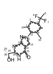 Cc1cc(C(C)(F)F)cc(C)c1-n1cc2c(=O)[nH]c([C@@H](C)O)nc2n1